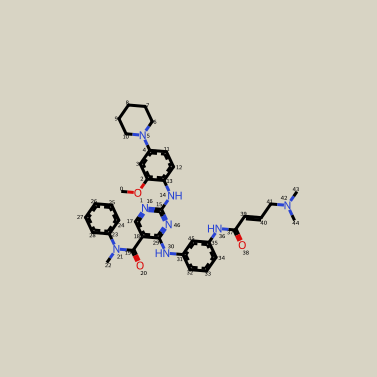 COc1cc(N2CCCCC2)ccc1Nc1ncc(C(=O)N(C)c2ccccc2)c(Nc2cccc(NC(=O)C=CCN(C)C)c2)n1